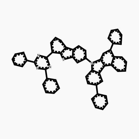 c1ccc(-c2ccc3c(c2)c2c4ccccc4c(-c4ccccc4)cc2n3-c2ccc3c(c2)sc2c(-c4nc(-c5ccccc5)nc(-c5ccccc5)n4)cccc23)cc1